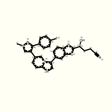 Cn1cc(-c2ccc3ncc(-c4ccc5nc([C@@H](O)CCC#N)sc5c4)n3c2)c(-c2ccc(F)cc2)n1